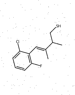 C/C(=C\c1c(F)cccc1Cl)C(C)CS